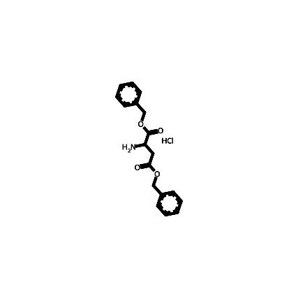 Cl.NC(CC(=O)OCc1ccccc1)C(=O)OCc1ccccc1